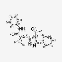 CC(=O)n1c(SC2(C(=O)Nc3ccccc3)CC2)nnc1-c1cccnc1